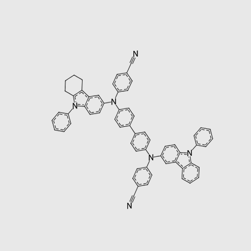 N#Cc1ccc(N(c2ccc(-c3ccc(N(c4ccc(C#N)cc4)c4ccc5c(c4)c4ccccc4n5-c4ccccc4)cc3)cc2)c2ccc3c(c2)c2c(n3-c3ccccc3)CCCC2)cc1